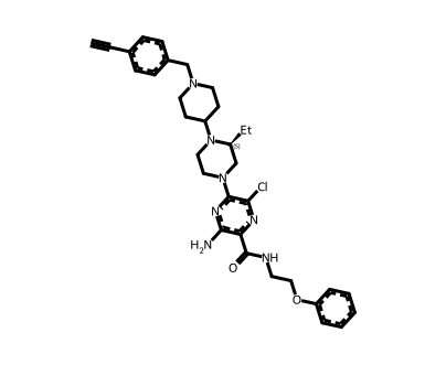 C#Cc1ccc(CN2CCC(N3CCN(c4nc(N)c(C(=O)NCCOc5ccccc5)nc4Cl)C[C@@H]3CC)CC2)cc1